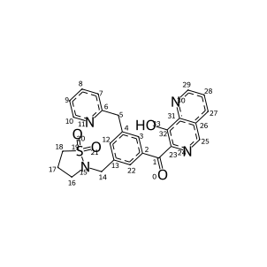 O=C(c1cc(Cc2ccccn2)cc(CN2CCCS2(=O)=O)c1)c1ncc2cccnc2c1O